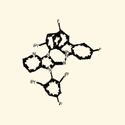 CC(C)c1cc(C(C)C)c(-n2c(=Nn3c4ccc(F)cc4c4cc(F)ccc43)n(-c3c(C(C)C)cccc3C(C)C)c3ncccc32)c(C(C)C)c1